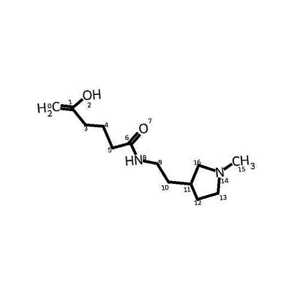 C=C(O)CCCC(=O)NCCC1CCN(C)C1